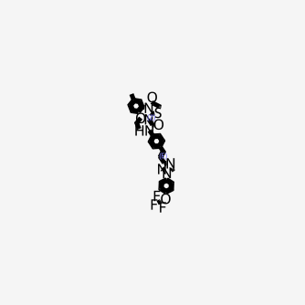 CCOc1ccc(C)cc1N1C(=O)CS/C1=N\C(=O)Nc1ccc(/C=C/c2ncn(-c3ccc(OC(F)(F)F)cc3)n2)cc1